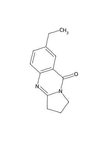 CCc1ccc2nc3n(c(=O)c2c1)CCC3